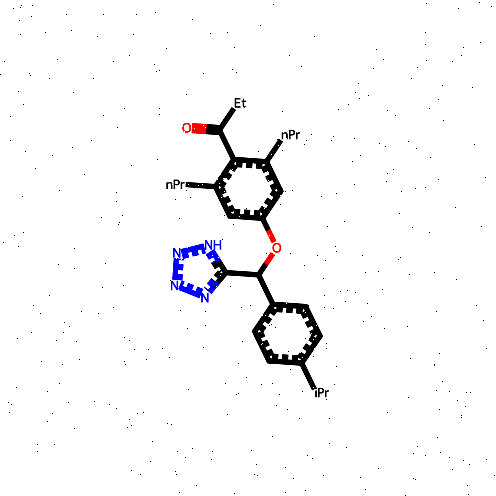 CCCc1cc(OC(c2ccc(C(C)C)cc2)c2nnn[nH]2)cc(CCC)c1C(=O)CC